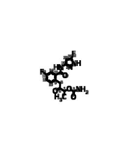 CC(OC(N)=O)C(=O)Cc1ccc(F)cc1C(=O)Nc1cc(F)[nH]n1